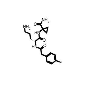 NCCC[C@@H](NC(=O)Cc1ccc(F)cc1)C(=O)NC1(C(N)=O)CC1